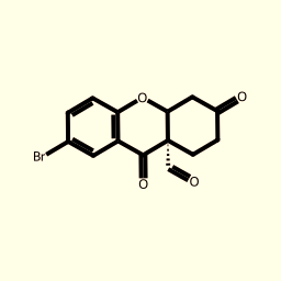 O=C[C@@]12CCC(=O)CC1Oc1ccc(Br)cc1C2=O